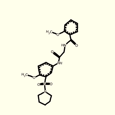 COc1ccccc1C(=O)NCC(=O)Nc1ccc(OC)c(S(=O)(=O)N2CCCCC2)c1